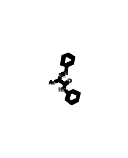 CC(=O)C(/N=N/c1ccccc1)C(=O)Nc1ccccc1